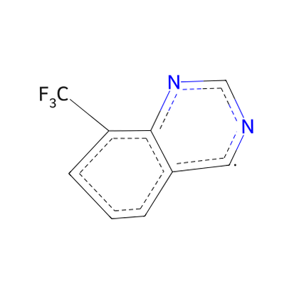 FC(F)(F)c1cccc2[c]ncnc12